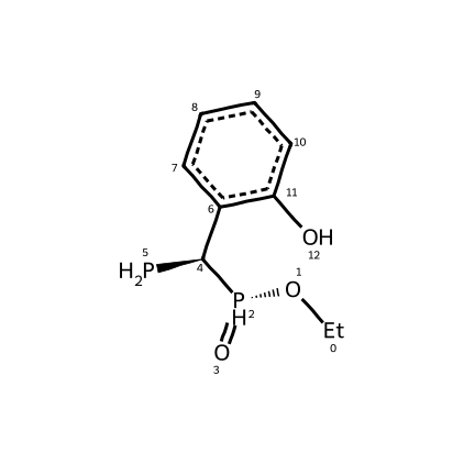 CCO[P@H](=O)[C@@H](P)c1ccccc1O